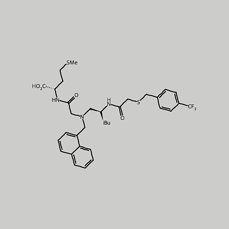 CC[C@H](C)[C@@H](CN(CC(=O)N[C@@H](CCSC)C(=O)O)Cc1cccc2ccccc12)NC(=O)CSCc1ccc(C(F)(F)F)cc1